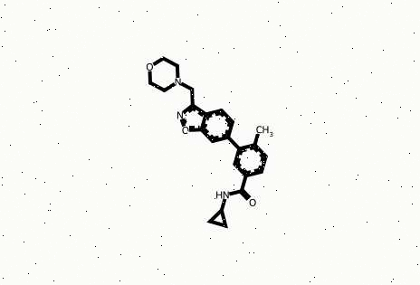 Cc1ccc(C(=O)NC2CC2)cc1-c1ccc2c(CN3CCOCC3)noc2c1